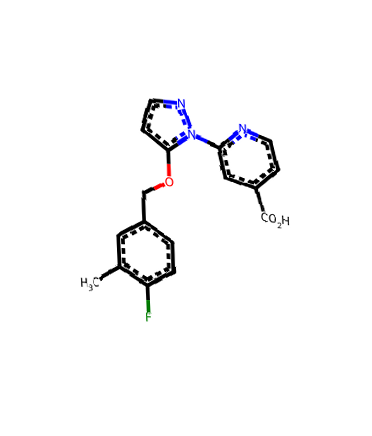 Cc1cc(COc2ccnn2-c2cc(C(=O)O)ccn2)ccc1F